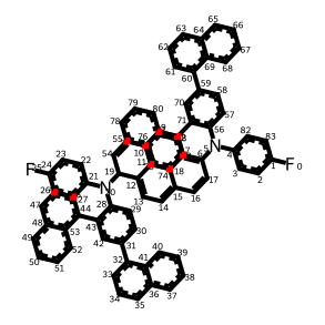 Fc1ccc(N(C2=C3C=CC4=C5C(=CC=C(C=C2)C35)C(N(c2ccc(F)cc2)c2ccc(-c3cccc5ccccc35)cc2-c2cccc3ccccc23)C=C4)c2ccc(-c3cccc4ccccc34)cc2-c2cccc3ccccc23)cc1